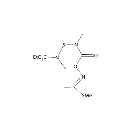 CCOC(=O)N(C)SN(C)C(=O)ON=C(C)SC